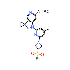 CCS(=O)(=O)C1CN(c2cc(C)cc(N3CC4(CC4)c4cnc(NC(C)=O)cc43)n2)C1